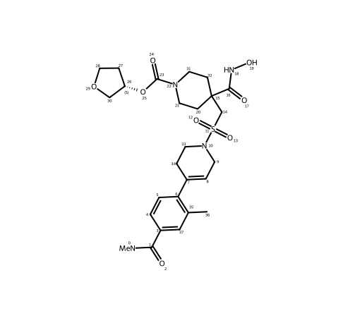 CNC(=O)c1ccc(C2=CCN(S(=O)(=O)CC3(C(=O)NO)CCN(C(=O)O[C@H]4CCOC4)CC3)CC2)c(C)c1